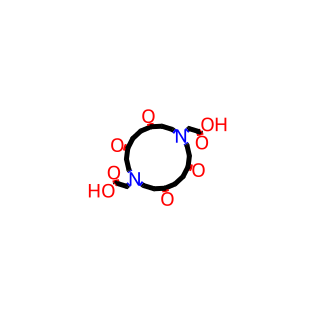 O=C(O)CN1CCC(=O)CCC(=O)CCN(CC(=O)O)CCC(=O)CCC(=O)CC1